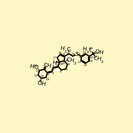 C=C1/C(=C\C=C2/CCC[C@]3(C)C([C@H](C)CSc4cccc(C(C)(C)O)c4)=CC[C@@H]23)C[C@@H](O)C[C@@H]1O